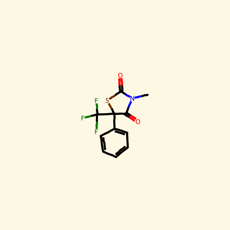 CN1C(=O)SC(c2ccccc2)(C(F)(F)F)C1=O